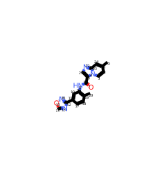 Cc1ccn2c(C(=O)Nc3cc(-c4ncon4)ccc3C)cnc2c1